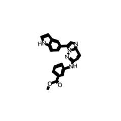 COC(=O)c1cccc(Nc2ccc3ncc(-c4ccc5[nH]ccc5c4)n3n2)c1